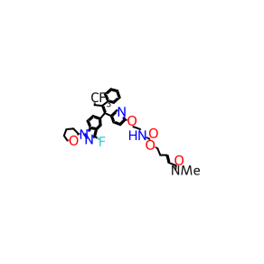 CNC(=O)/C=C/CCOC(=O)NCCOc1ccc(/C(=C(/CC(F)(F)F)c2ccccc2)c2ccc3c(c2)c(F)nn3C2CCCCO2)cn1